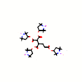 CC1(C)CC(OC(=O)CCC(C(=O)OC2CC(C)(C)N(O)C2(C)C)C(C(=O)OC2CC(C)(C)N(O)C2(C)C)C(=O)OC2CC(C)(C)N(O)C2(C)C)C(C)(C)N1O